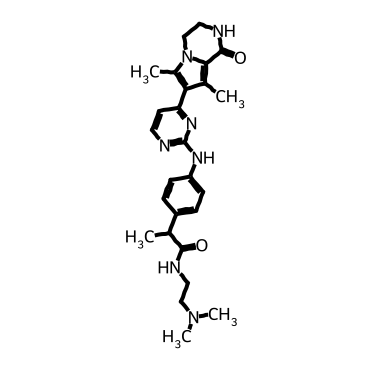 Cc1c(-c2ccnc(Nc3ccc(C(C)C(=O)NCCN(C)C)cc3)n2)c(C)n2c1C(=O)NCC2